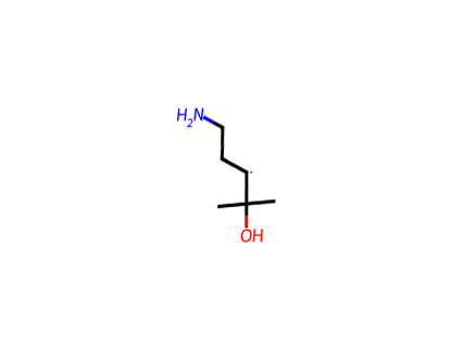 CC(C)(O)[CH]CCN